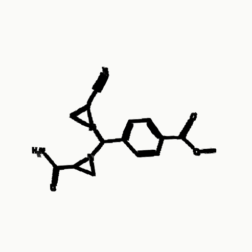 COC(=O)c1ccc(C(N2CC2C#N)N2CC2C(N)=O)cc1